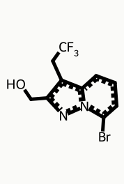 OCc1nn2c(Br)cccc2c1CC(F)(F)F